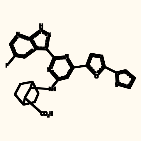 O=C(O)C1C2CCC(CC2)C1Nc1cc(-c2ccc(-c3cccs3)o2)nc(-c2n[nH]c3ncc(F)cc23)n1